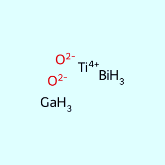 [BiH3].[GaH3].[O-2].[O-2].[Ti+4]